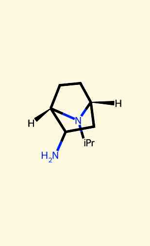 CC(C)N1[C@@H]2CC[C@H]1C(N)C2